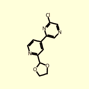 Clc1cncc(-c2ccnc(C3OCCO3)c2)n1